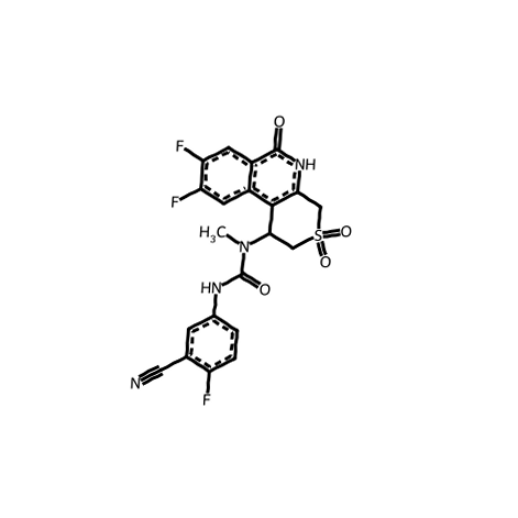 CN(C(=O)Nc1ccc(F)c(C#N)c1)C1CS(=O)(=O)Cc2[nH]c(=O)c3cc(F)c(F)cc3c21